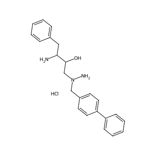 Cl.NC(Cc1ccccc1)C(O)CN(N)Cc1ccc(-c2ccccc2)cc1